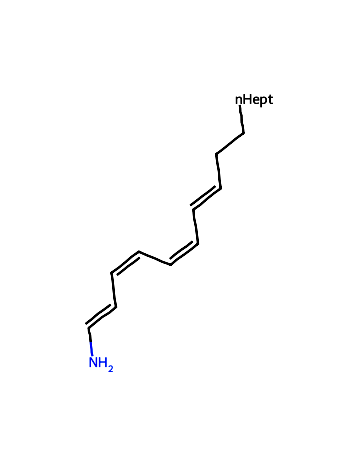 CCCCCCCCC/C=C/C=C\C=C/C=C/N